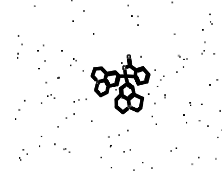 O=C1OC(c2cc3c4c(c2)CCCN4CCC3)(c2cc3c4c(c2)CCCN4CCC3)c2ccccc21